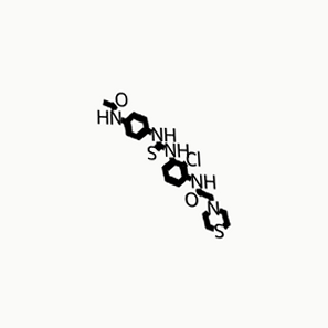 CC(=O)Nc1ccc(NC(=S)Nc2cccc(NC(=O)CN3CCSCC3)c2Cl)cc1